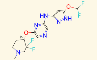 CN1CC[C@H](Oc2cncc(Nc3cc(OC(F)F)[nH]n3)n2)C(F)(F)C1